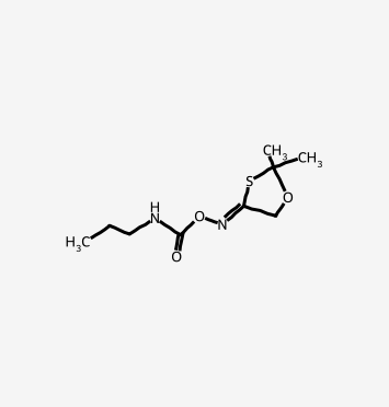 CCCNC(=O)ON=C1COC(C)(C)S1